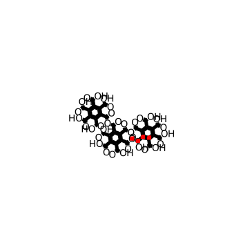 C=CCOC(=O)c1c(C(=O)O)c(C(=O)O)c(C(=O)O)c(C(=O)OC(=O)c2c(C(=O)O)c(C(=O)O)c(C(=O)O)c(C(=O)O)c2C(=O)O)c1C(=O)OC(=O)c1c(C(=O)O)c(C(=O)O)c(C(=O)O)c(C(=O)O)c1C(=O)O